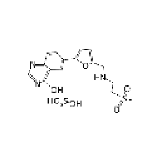 CS(=O)(=O)CCNCc1ccc(-c2ccc3ncnc(O)c3c2)o1.O=S(=O)(O)O